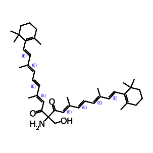 CC1=C(/C=C/C(C)=C/C=C/C(C)=C/C(=O)C(N)(CO)C(=O)/C=C(C)/C=C/C=C(C)/C=C/C2=C(C)CCCC2(C)C)C(C)(C)CCC1